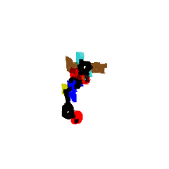 COc1cccc(-c2csc(N3CCN(S(=O)(=O)c4c(F)c(Br)cc(F)c4Br)CC3)n2)c1